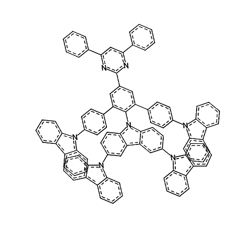 c1ccc(-c2cc(-c3ccccc3)nc(-c3cc(-c4ccc(-n5c6ccccc6c6ccccc65)cc4)c(-n4c5ccc(-n6c7ccccc7c7ccccc76)cc5c5cc(-n6c7ccccc7c7ccccc76)ccc54)c(-c4ccc(-n5c6ccccc6c6ccccc65)cc4)c3)n2)cc1